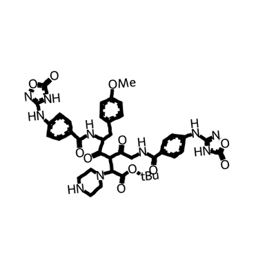 COc1ccc(CC(NC(=O)c2ccc(Nc3noc(=O)[nH]3)cc2)C(=O)C(C(=O)CNC(=O)c2ccc(Nc3noc(=O)[nH]3)cc2)C(C(=O)OC(C)(C)C)N2CCNCC2)cc1